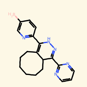 Bc1ccc(C2=C3CCCCCCC3C(c3ncccn3)=NN2)nc1